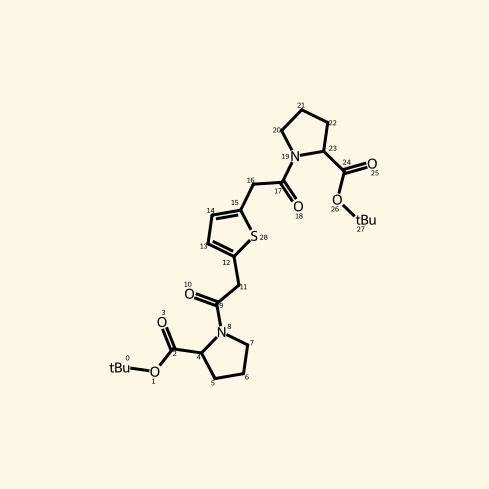 CC(C)(C)OC(=O)C1CCCN1C(=O)Cc1ccc(CC(=O)N2CCCC2C(=O)OC(C)(C)C)s1